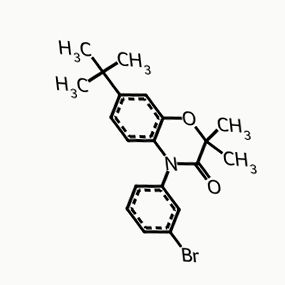 CC1(C)Oc2cc(C(C)(C)C)ccc2N(c2cccc(Br)c2)C1=O